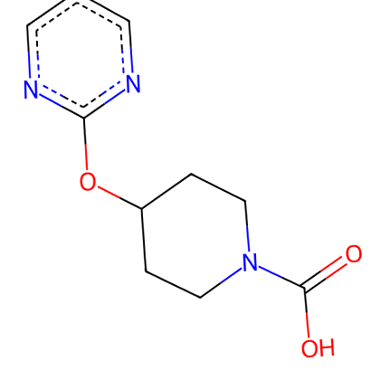 O=C(O)N1CCC(Oc2ncccn2)CC1